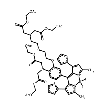 CC(=O)OCOC(=O)CN(CCOCCOc1cc(C2=C3C(c4cccs4)=CC(C)=[N+]3[B-](F)(F)n3c(C)cc(-c4cccs4)c32)ccc1N(CC(=O)OCOC(C)=O)CC(=O)OCOC(C)=O)CC(=O)OCOC(C)=O